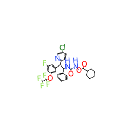 O=C(NOC(=O)C1CCCCC1)NC(c1ccccc1)[C@@H](c1cc(F)cc(OC(F)(F)C(F)F)c1)c1ccc(Cl)cn1